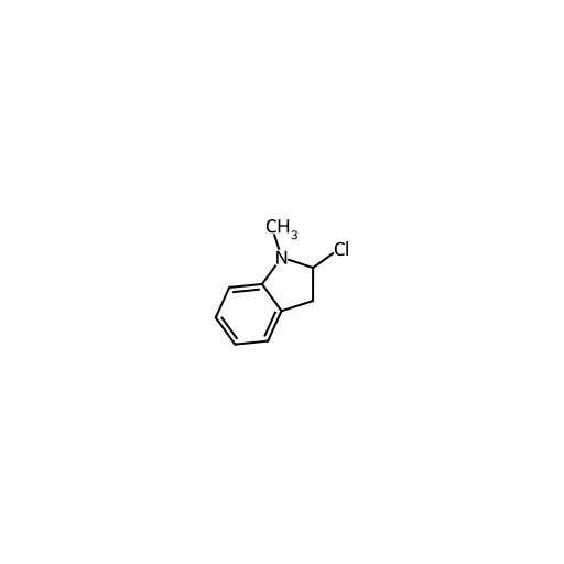 CN1c2ccccc2CC1Cl